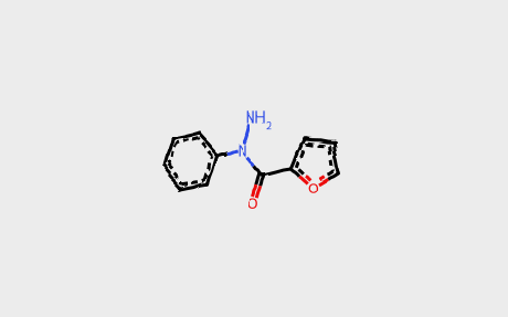 NN(C(=O)c1ccco1)c1ccccc1